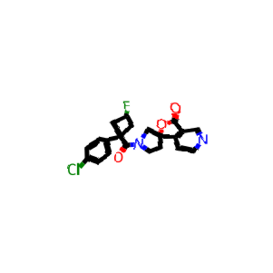 O=C1OC2(CCN(C(=O)C3(c4ccc(Cl)cc4)CC(F)C3)C2)c2ccncc21